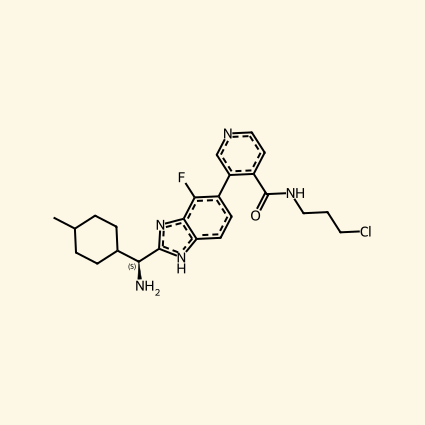 CC1CCC([C@H](N)c2nc3c(F)c(-c4cnccc4C(=O)NCCCCl)ccc3[nH]2)CC1